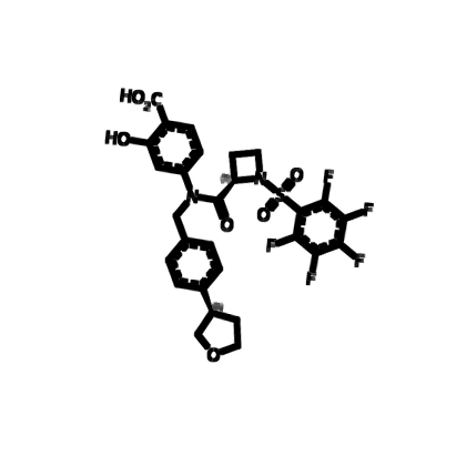 O=C(O)c1ccc(N(Cc2ccc([C@H]3CCOC3)cc2)C(=O)[C@H]2CCN2S(=O)(=O)c2c(F)c(F)c(F)c(F)c2F)cc1O